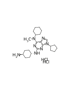 CN(c1nc(N[C@H]2CC[C@H](N)CC2)nc2c1ncn2C1CCCC1)C1CCCCC1.Cl.Cl